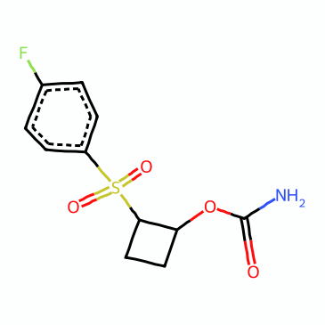 NC(=O)OC1CCC1S(=O)(=O)c1ccc(F)cc1